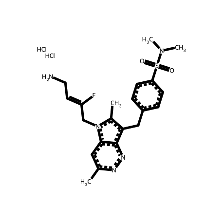 Cc1cc2c(nn1)c(Cc1ccc(S(=O)(=O)N(C)C)cc1)c(C)n2CC(F)=CCN.Cl.Cl